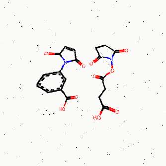 O=C(O)CCC(=O)ON1C(=O)CCC1=O.O=C(O)c1cccc(N2C(=O)C=CC2=O)c1